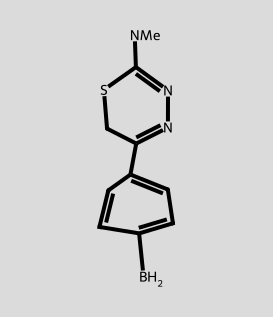 Bc1ccc(C2=NN=C(NC)SC2)cc1